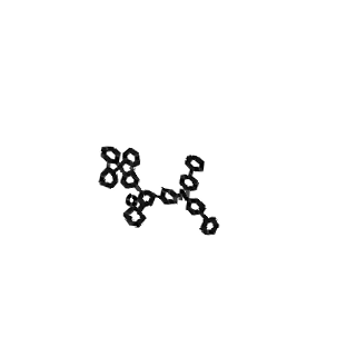 c1ccc(-c2ccc(N(c3ccc(-c4ccccc4)cc3)c3ccc(-c4cc(-c5ccc6c(c5)-c5ccccc5C65c6ccccc6-c6ccccc65)c5oc6ccccc6c5c4)cc3)cc2)cc1